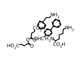 NCCCC[C@H](N)C(=O)O.NCCc1ccccc1.O=C(O)CCC(=O)OC(=O)CCC(=O)O.O=Cc1ccc(-c2ccccc2)cc1